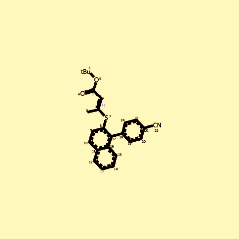 C/C(=C\C(=O)OC(C)(C)C)Sc1ccc2ccccc2c1-c1ccc(C#N)cc1